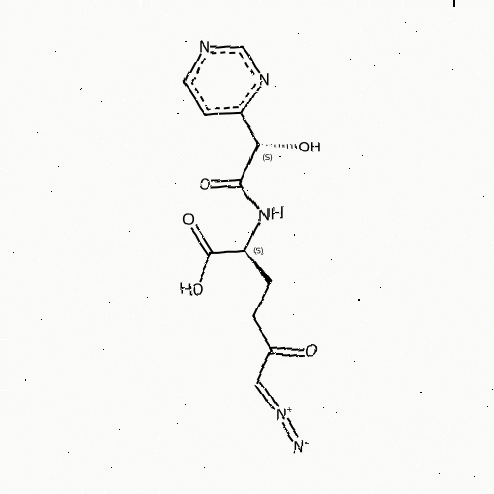 [N-]=[N+]=CC(=O)CC[C@H](NC(=O)[C@@H](O)c1ccncn1)C(=O)O